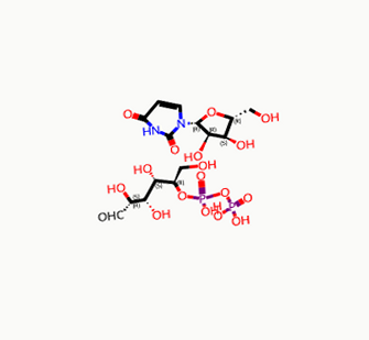 O=C[C@H](O)[C@@H](O)[C@H](O)[C@@H](CO)OP(=O)(O)OP(=O)(O)O.O=c1ccn([C@@H]2O[C@H](CO)[C@@H](O)[C@H]2O)c(=O)[nH]1